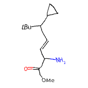 COC(=O)C(N)C=CC(C1CC1)C(C)(C)C